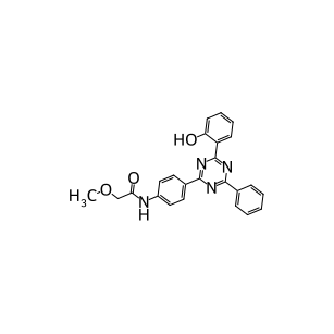 COCC(=O)Nc1ccc(-c2nc(-c3ccccc3)nc(-c3ccccc3O)n2)cc1